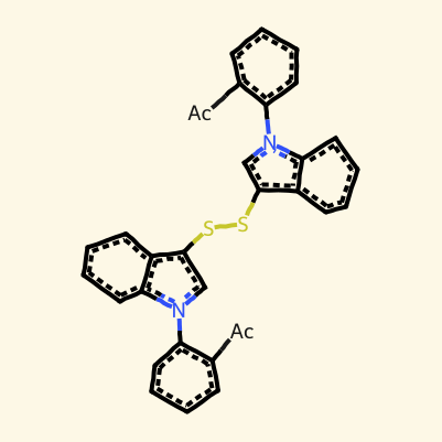 CC(=O)c1ccccc1-n1cc(SSc2cn(-c3ccccc3C(C)=O)c3ccccc23)c2ccccc21